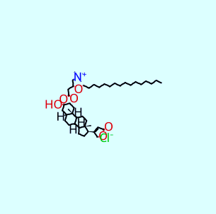 CCCCCCCCCCCCCCCCOC(CC(=O)O[C@]1(O)CC[C@@]2(C)[C@H](CC[C@@H]3[C@@H]2CC[C@]2(C)[C@@H](C4=CC(=O)OC4)CC[C@@H]32)C1)C[N+](C)(C)C.[Cl-]